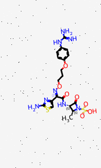 C[C@H]1[C@H](NC(=O)/C(=N\OCCCOc2ccc(NC(=N)N)cc2)c2csc(N)n2)C(=O)N1S(=O)(=O)O